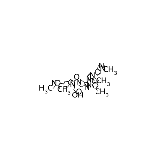 CCc1nccc(-c2ccc3c(c2)cc(C(=O)N2CCc4nn(-c5cc(C)cc(C)c5)c(-n5ccn(-c6ccc7c(cnn7C)c6)c5=O)c4C2)n3CCC(=O)O)c1C